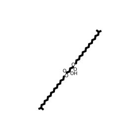 CC(C)CCCCCCCCCCCCCCCOC(=O)CC(O)C(=O)OCCCCCCCCCCCCCCCC(C)C